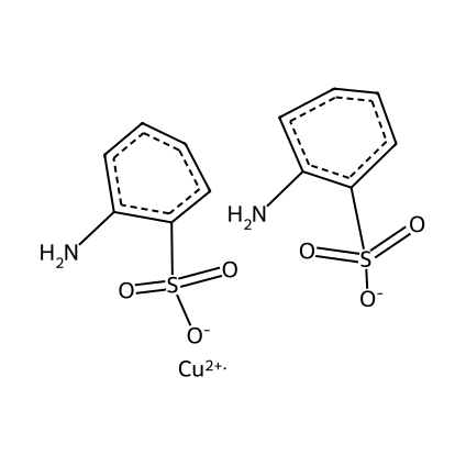 Nc1ccccc1S(=O)(=O)[O-].Nc1ccccc1S(=O)(=O)[O-].[Cu+2]